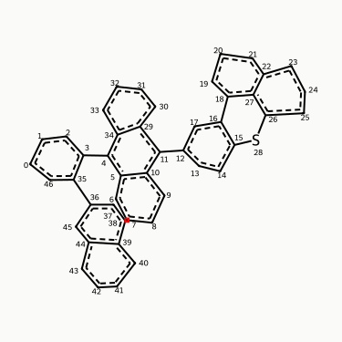 c1ccc(-c2c3ccccc3c(-c3ccc4c(c3)-c3cccc5cccc(c35)S4)c3ccccc23)c(-c2ccc3ccccc3c2)c1